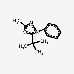 Cc1nc(C(C)(C)C)n(-c2ccccc2)n1